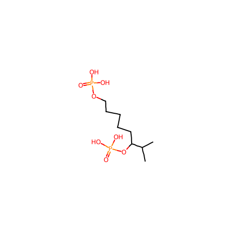 CC(C)C(CCCCCOP(=O)(O)O)OP(=O)(O)O